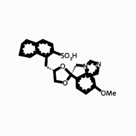 COc1ccc([C@@]2(Cn3ccnc3)OC[C@H](Cc3c(S(=O)(=O)O)ccc4ccccc34)O2)cc1